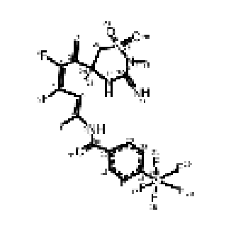 C=C(/C(F)=C(F)\C=C(/C)NC(=O)c1ccc(S(F)(F)(F)(F)F)cc1)[C@]1(C)CS(=O)(=O)N(C)C(=N)N1